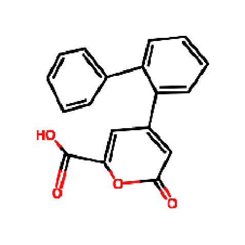 O=C(O)c1cc(-c2ccccc2-c2ccccc2)cc(=O)o1